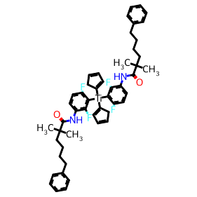 CC(C)(CCCCc1ccccc1)C(=O)Nc1ccc(F)[c]([Ti]([C]2=CC=CC2)([C]2=CC=CC2)[c]2c(F)ccc(NC(=O)C(C)(C)CCCCc3ccccc3)c2F)c1F